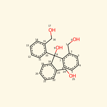 OCc1ccccc1C(O)(c1ccccc1CO)c1ccccc1CO